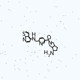 NC1CCC2CN(C(=O)c3ccc(CNc4ccnc5sccc45)nc3)CC12